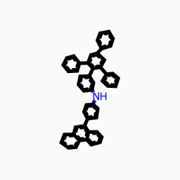 c1ccc(-c2cc(-c3ccccc3)c(-c3cccc(Nc4ccc(-c5cc6ccccc6c6ccccc56)cc4)c3)c(-c3ccccc3)c2)cc1